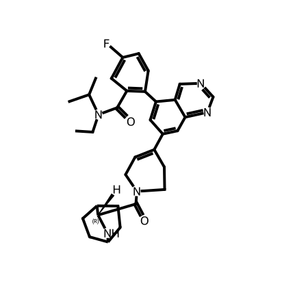 CCN(C(=O)c1cc(F)ccc1-c1cc(C2=CCN(C(=O)[C@@H]3NC4CCC3CC4)CC2)cc2ncncc12)C(C)C